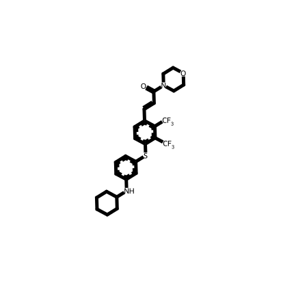 O=C(C=Cc1ccc(Sc2cccc(NC3CCCCC3)c2)c(C(F)(F)F)c1C(F)(F)F)N1CCOCC1